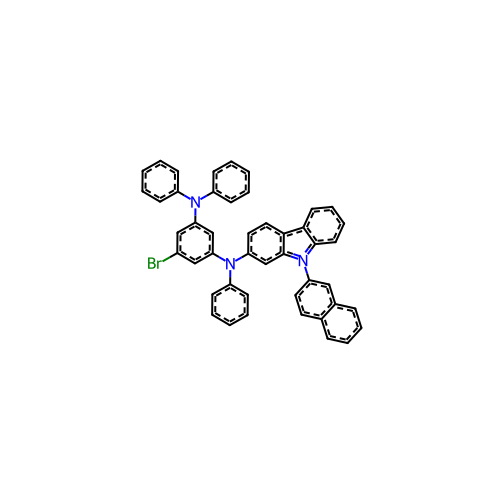 Brc1cc(N(c2ccccc2)c2ccccc2)cc(N(c2ccccc2)c2ccc3c4ccccc4n(-c4ccc5ccccc5c4)c3c2)c1